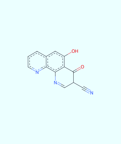 N#CC1C=Nc2c(c(O)cc3cccnc23)C1=O